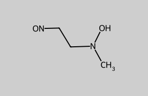 CN(O)CCN=O